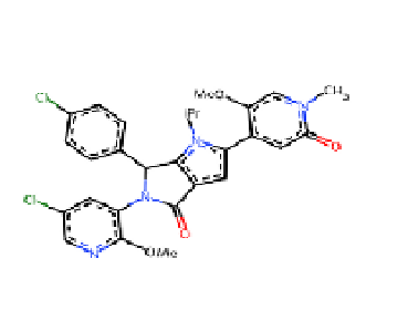 COc1cn(C)c(=O)cc1-c1cc2c(n1C(C)C)C(c1ccc(Cl)cc1)N(c1cc(Cl)cnc1OC)C2=O